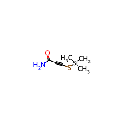 C[Si](C)(C)SC#CC(N)=O